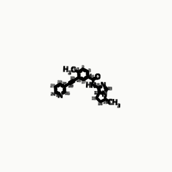 Cc1ccc(C(=O)Nc2ncn3c2CCC3C)cc1C#Cc1cccnc1